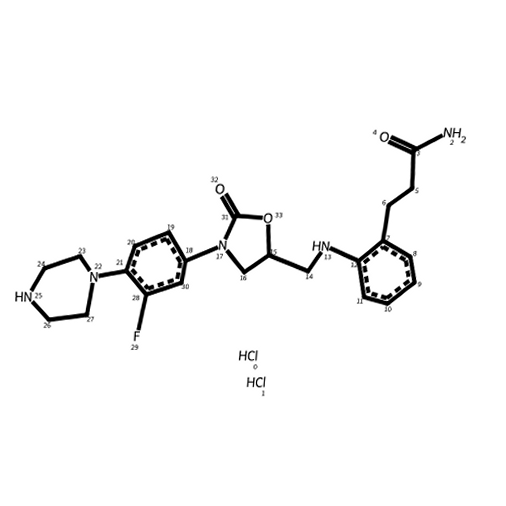 Cl.Cl.NC(=O)CCc1ccccc1NCC1CN(c2ccc(N3CCNCC3)c(F)c2)C(=O)O1